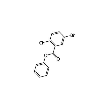 O=C(Oc1ccccc1)c1cc(Br)ccc1Cl